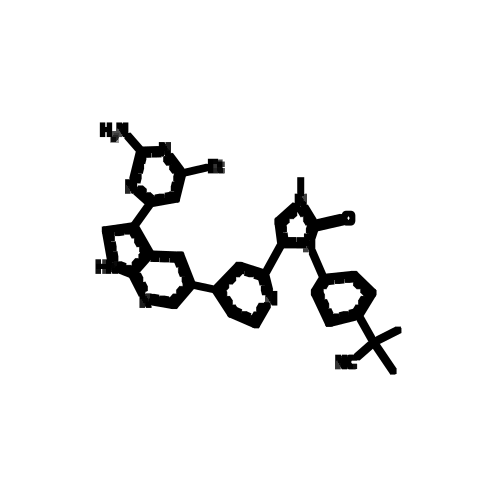 CCc1cc(-c2c[nH]c3ncc(-c4ccnc(-c5cn(C)c(=O)n5-c5ccc(C(C)(C)C#N)cc5)c4)cc23)nc(N)n1